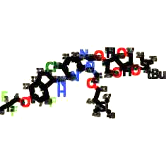 CC(F)(F)COc1cc(F)c2c(c1)CCC2Nc1nc2c(cc1Cl)nc(O[C@@H]1CO[C@@H]3C(O[Si](C)(C)C(C)(C)C)CO[C@@H]31)n2COCC[Si](C)(C)C